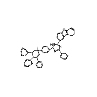 CC1(c2ccc(C3N=C(c4ccccc4)N=C(c4ccc5oc6c(c5c4)CCC#C6)N3)cc2)C=C(c2ccccc2)C(c2ccccc2)C(c2ccccc2)C1